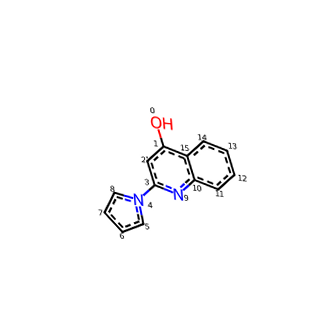 Oc1[c]c(-n2cccc2)nc2ccccc12